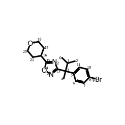 CC(C)C(C)(c1ccc(Br)cc1)c1noc(C2CCOCC2)n1